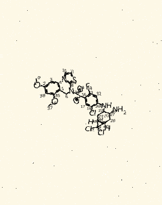 COc1ccc(CN(c2nccs2)S(=O)(=O)c2cc(Cl)c(NC3C[C@H]4[C@@H](C[C@@H]3N)C4(Cl)Cl)cc2F)c(OC)c1